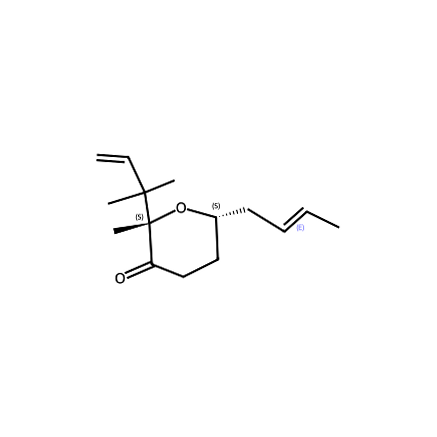 C=CC(C)(C)[C@]1(C)O[C@H](C/C=C/C)CCC1=O